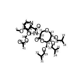 COc1ccnc(C(=O)N[C@@H]2COC[C@H](OCC(C)C)[C@@H](OCC(C)C)[C@@H](COCC(C)C)OC2=O)c1OCOC(C)=O